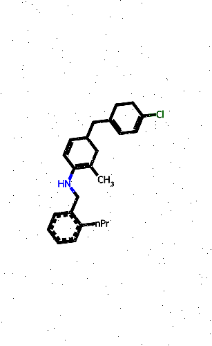 CCCc1ccccc1CNC1=C(C)CC(CC2=CC=C(Cl)CC2)C=C1